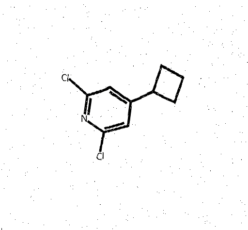 Clc1cc(C2CCC2)cc(Cl)n1